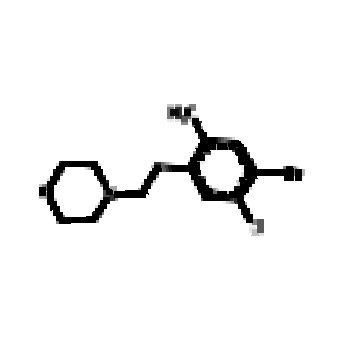 Cc1cc(C(C)C)c(Cl)cc1CCN1CCOCC1